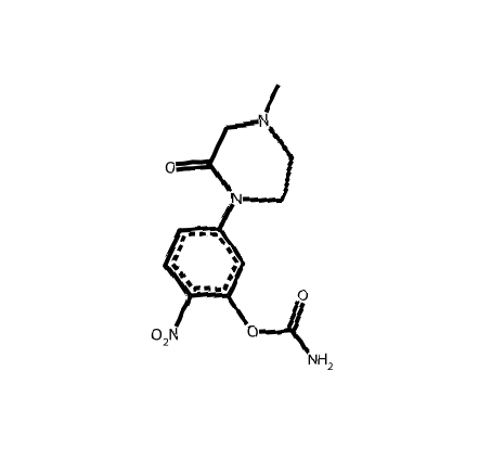 CN1CCN(c2ccc([N+](=O)[O-])c(OC(N)=O)c2)C(=O)C1